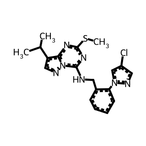 CSc1nc(NCc2ccccc2-n2cc(Cl)cn2)n2ncc(C(C)C)c2n1